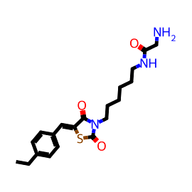 CCc1ccc(/C=C2\SC(=O)N(CCCCCCNC(=O)CN)C2=O)cc1